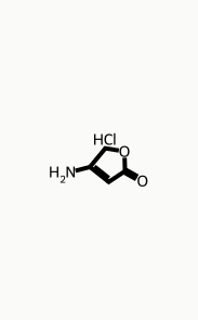 Cl.NC1=CC(=O)OC1